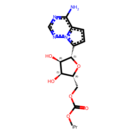 CC(C)OC(=O)OC[C@H]1O[C@@H](c2ccc3c(N)ncnn23)[C@H](O)[C@@H]1O